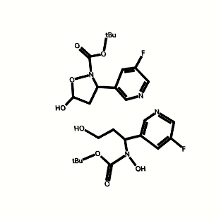 CC(C)(C)OC(=O)N(O)C(CCO)c1cncc(F)c1.CC(C)(C)OC(=O)N1OC(O)CC1c1cncc(F)c1